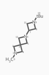 CN1CC2(C1)CN(C1CN(C(C)(C)C)C1)C2